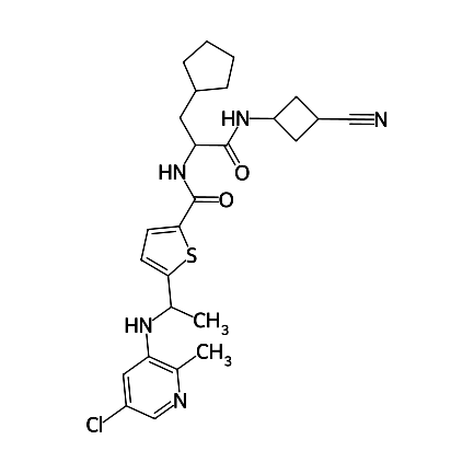 Cc1ncc(Cl)cc1NC(C)c1ccc(C(=O)NC(CC2CCCC2)C(=O)NC2CC(C#N)C2)s1